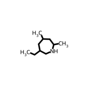 CCC1CNC(C)CC(C)C1